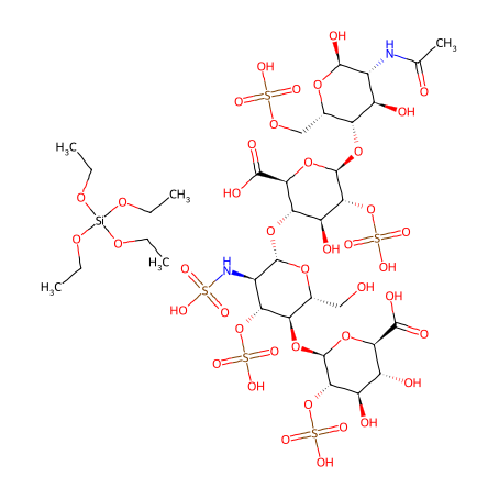 CC(=O)N[C@@H]1[C@@H](O)[C@H](O[C@@H]2O[C@H](C(=O)O)[C@@H](O[C@@H]3O[C@H](CO)[C@@H](O[C@H]4O[C@@H](C(=O)O)[C@H](O)[C@@H](O)[C@@H]4OS(=O)(=O)O)[C@H](OS(=O)(=O)O)[C@H]3NS(=O)(=O)O)[C@H](O)[C@H]2OS(=O)(=O)O)[C@H](COS(=O)(=O)O)O[C@H]1O.CCO[Si](OCC)(OCC)OCC